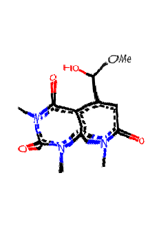 COC(O)c1cc(=O)n(C)c2c1c(=O)n(C)c(=O)n2C